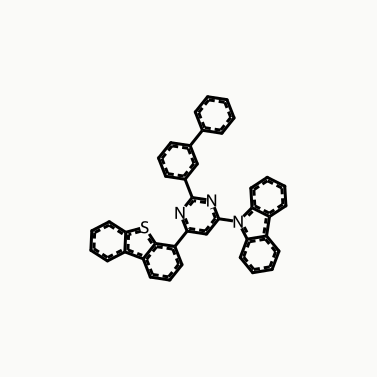 c1ccc(-c2cccc(-c3nc(-c4cccc5c4sc4ccccc45)cc(-n4c5ccccc5c5ccccc54)n3)c2)cc1